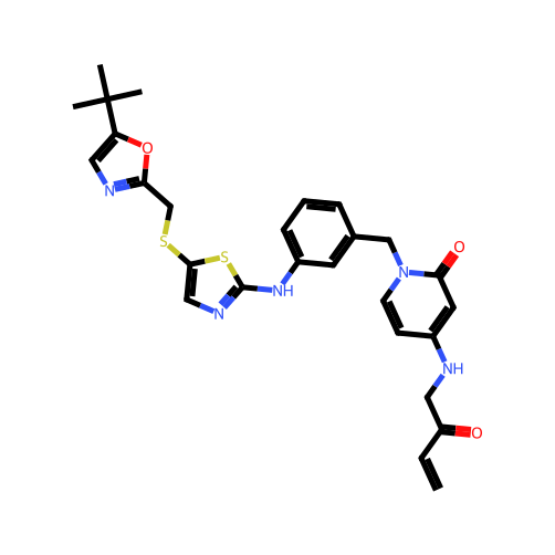 C=CC(=O)CNc1ccn(Cc2cccc(Nc3ncc(SCc4ncc(C(C)(C)C)o4)s3)c2)c(=O)c1